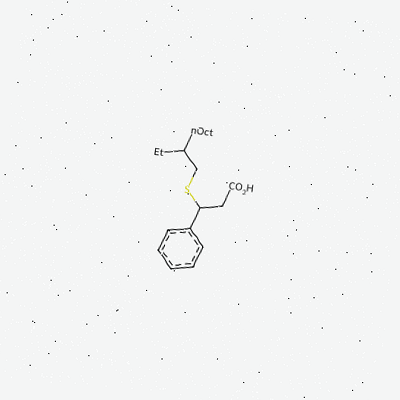 CCCCCCCCC(CC)CSC(CC(=O)O)c1ccccc1